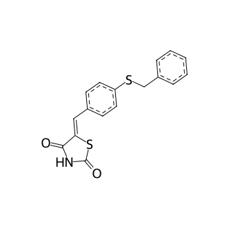 O=C1NC(=O)/C(=C/c2ccc(SCc3ccccc3)cc2)S1